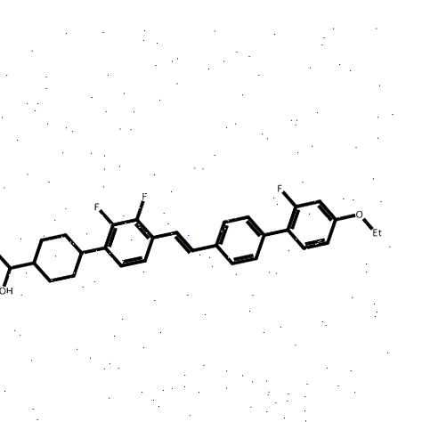 CCCC(O)C1CCC(c2ccc(/C=C/c3ccc(-c4ccc(OCC)cc4F)cc3)c(F)c2F)CC1